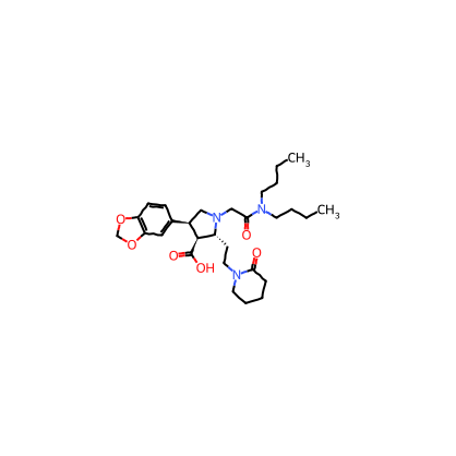 CCCCN(CCCC)C(=O)CN1C[C@H](c2ccc3c(c2)OCO3)[C@H](C(=O)O)[C@H]1CCN1CCCCC1=O